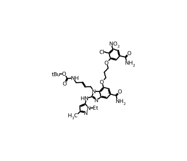 CCn1nc(C)cc1Nc1nc2cc(C(N)=O)cc(OCCCOc3cc(C(N)=O)cc([N+](=O)[O-])c3Cl)c2n1C/C=C/CNC(=O)OC(C)(C)C